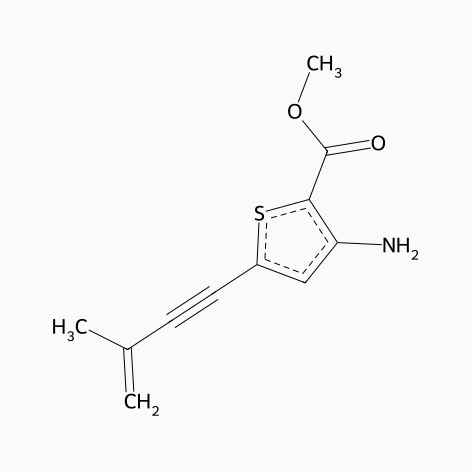 C=C(C)C#Cc1cc(N)c(C(=O)OC)s1